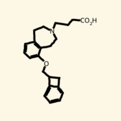 O=C(O)CCCN1CCc2cccc(OCC3Cc4ccccc43)c2CC1